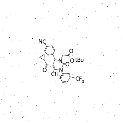 CC1=C(C(=O)C2CC2)C(c2ccc(C#N)cc2)N(CC(=O)OC(C)(C)C)C(=O)N1c1cccc(C(F)(F)F)c1